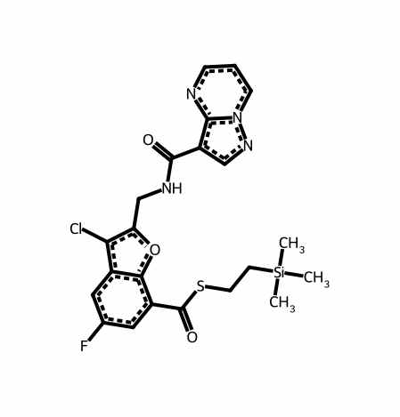 C[Si](C)(C)CCSC(=O)c1cc(F)cc2c(Cl)c(CNC(=O)c3cnn4cccnc34)oc12